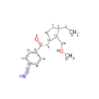 [CH2]CC1C[CH]C(CC(=O)c2ccc(C#N)cc2)C1COC